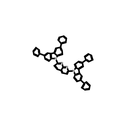 c1ccc(-c2ccc3c(c2)c2cc(-c4ccccc4)ccc2n3-c2ccc3ccc(-n4c5ccc(-c6ccccc6)cc5c5cc(-c6ccccc6)ccc54)nc3n2)cc1